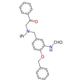 CC(C)N(CC(=O)c1ccccc1)Cc1ccc(OCc2ccccc2)c(NC=O)c1